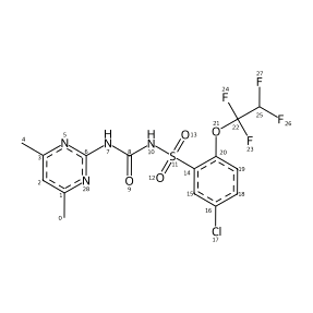 Cc1cc(C)nc(NC(=O)NS(=O)(=O)c2cc(Cl)ccc2OC(F)(F)C(F)F)n1